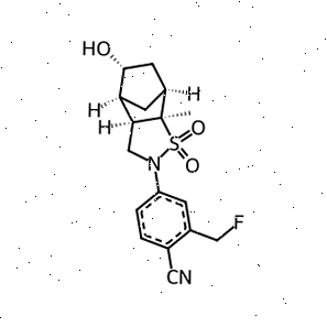 C[C@@]12[C@H]3C[C@H]([C@H](O)C3)[C@@H]1CN(c1ccc(C#N)c(CF)c1)S2(=O)=O